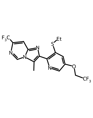 CCSc1cc(OCC(F)(F)F)cnc1-c1nc2cc(C(F)(F)F)ncn2c1C